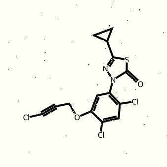 O=c1sc(C2CC2)nn1-c1cc(OCC#CCl)c(Cl)cc1Cl